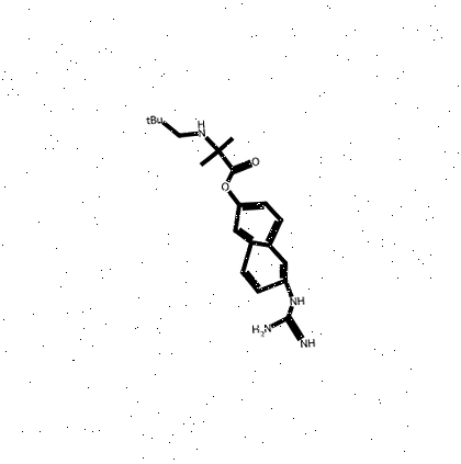 CC(C)(C)CNC(C)(C)C(=O)Oc1ccc2cc(NC(=N)N)ccc2c1